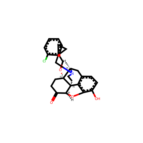 O=C1CC[C@@]2(OCc3ccccc3Cl)[C@H]3Cc4ccc(O)c5c4[C@@]2(CCN3CC2CC2)[C@H]1O5